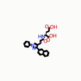 O=C(O)CC[C@H](NC(=O)/C=C/c1cn(-c2ccccc2)nc1-c1ccc2ccccc2c1)C(=O)O